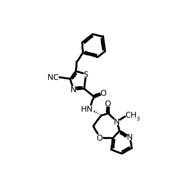 CN1C(=O)[C@@H](NC(=O)c2nc(C#N)c(Cc3ccccc3)s2)COc2cccnc21